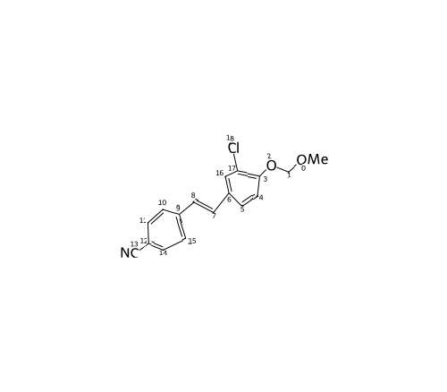 COCOc1ccc(C=Cc2ccc(C#N)cc2)cc1Cl